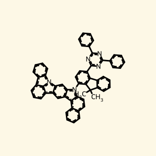 CC1(C)c2ccccc2-c2c(-c3nc(-c4ccccc4)nc(-c4ccccc4)n3)ccc(-n3c4cc5c(cc4c4c6ccccc6ccc43)c3cccc4c6ccccc6n5c43)c21